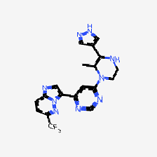 CC1C(c2cn[nH]c2)NCCN1c1cc(-c2cnc3ccc(C(F)(F)F)nn23)ncn1